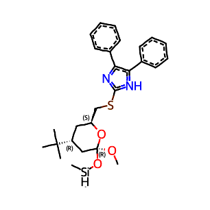 CO[C@]1(O[SiH](C)C)C[C@H](C(C)(C)C)C[C@@H](CSc2nc(-c3ccccc3)c(-c3ccccc3)[nH]2)O1